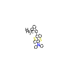 CC1(C)c2ccccc2-c2ccc(-c3cc4sc5cccc6c(N(c7ccccc7)c7ccccc7)cc7sc8cccc3c8c4-c7c56)cc21